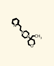 CCC1(N2CCN(CCc3ccccn3)CC2)CCOCC1